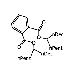 CCCCCCCCCCC(CCCCC)OC(=O)c1ccccc1C(=O)OC(CCCCC)CCCCCCCCCC